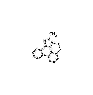 Cc1nc2c3ccccc3c3cccc4c3n2c1SC4